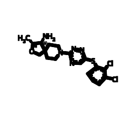 C[C@@H]1OCC2(CCN(c3ncc(Sc4cccc(Cl)c4Cl)nn3)CC2)[C@@H]1N